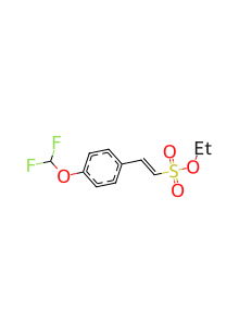 CCOS(=O)(=O)/C=C/c1ccc(OC(F)F)cc1